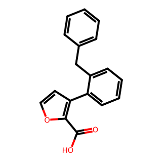 O=C(O)c1occc1-c1ccccc1Cc1ccccc1